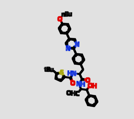 CCCCOc1ccc(-c2cnc(-c3ccc(CC(NC(=O)c4ccc(C(C)(C)C)s4)C(=O)NC(C=O)C(O)c4ccccc4)cc3)nc2)cc1